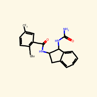 CC(C)(C)c1ccc(C(F)(F)F)cc1C(=O)NC1Cc2ccccc2C1NC(N)=O